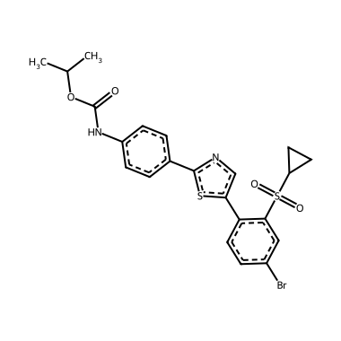 CC(C)OC(=O)Nc1ccc(-c2ncc(-c3ccc(Br)cc3S(=O)(=O)C3CC3)s2)cc1